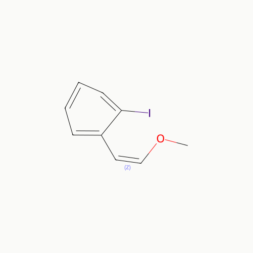 CO/C=C\c1ccccc1I